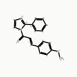 COc1ccc(/C=C/C(=O)n2ccnc2-c2ccccc2)cc1